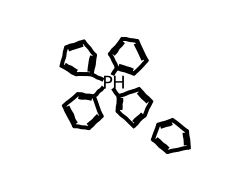 c1ccc([PH](c2ccccc2)(c2ccccc2)c2ccccc2)cc1.c1ccccc1